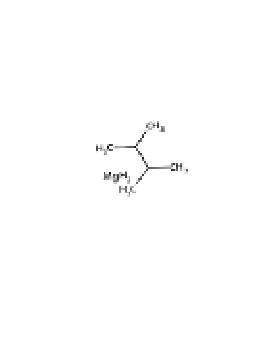 CC(C)C(C)C.[MgH2]